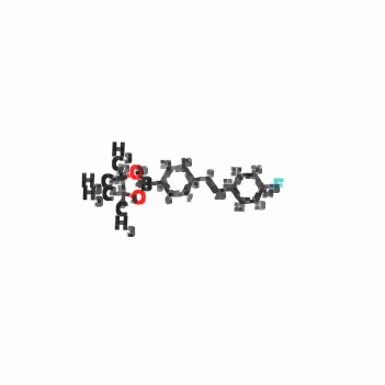 CC1(C)OB(c2ccc(C=Cc3ccc(F)cc3)cc2)OC1(C)C